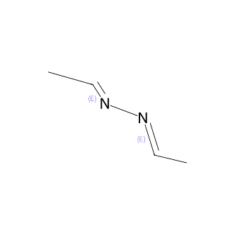 C/C=N/N=C/C